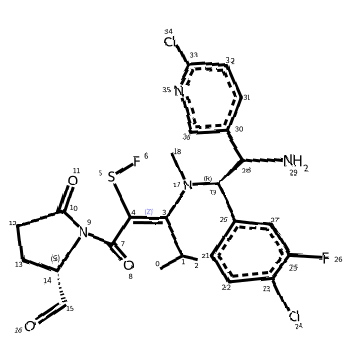 CC(C)/C(=C(/SF)C(=O)N1C(=O)CC[C@H]1C=O)N(C)[C@H](c1ccc(Cl)c(F)c1)C(N)c1ccc(Cl)nc1